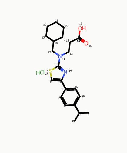 CC(C)c1ccc(-c2csc(N(CCC(=O)O)CC3CCCCC3)n2)cc1.Cl